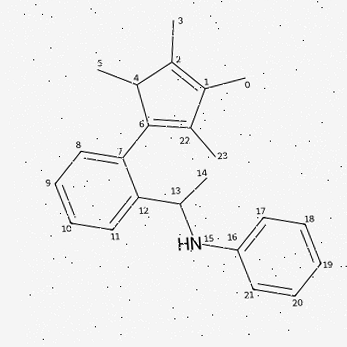 CC1=C(C)C(C)C(c2ccccc2C(C)Nc2ccccc2)=C1C